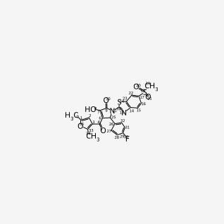 Cc1cc(C(=O)C2=C(O)C(=O)N(c3nc4ccc(S(C)(=O)=O)cc4s3)C2c2ccc(F)cc2)c(C)o1